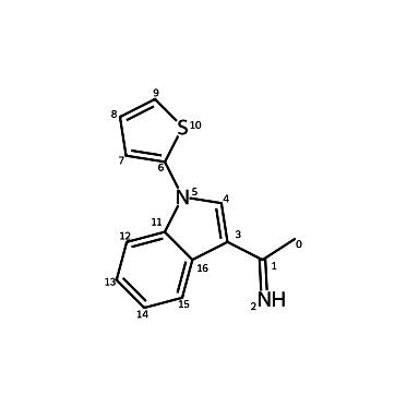 CC(=N)c1cn(-c2cccs2)c2ccccc12